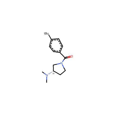 CN(C)[C@H]1CCN(C(=O)c2ccc(C(C)(C)C)cc2)C1